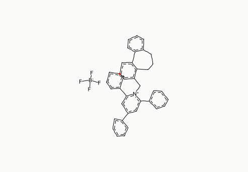 F[B-](F)(F)F.c1ccc(-c2cc(-c3ccccc3)[n+](Cc3cccc4c3CCCc3ccccc3-4)c(-c3ccccc3)c2)cc1